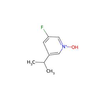 CC(C)c1cc(F)c[n+](O)c1